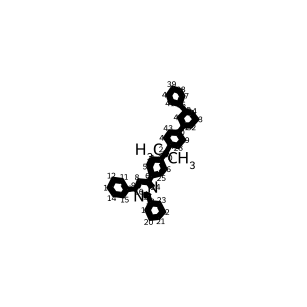 CC(C)(c1c#cc(-c2cc(-c3ccccc3)nc(-c3ccccc3)n2)cc1)c1ccc(-c2cccc(-c3ccccc3)c2)cc1